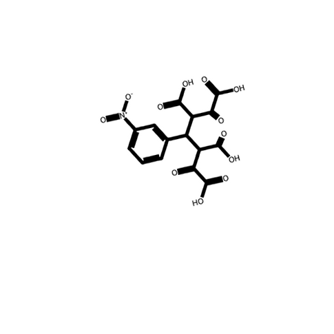 O=C(O)C(=O)C(C(=O)O)C(c1cccc([N+](=O)[O-])c1)C(C(=O)O)C(=O)C(=O)O